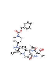 CCCCN1C(=O)[C@@H]([C@H](O)C(C)C)NC(=O)C12CCN(Cc1c(C)nn(C3CCN(C(=O)OCc4ccccc4)CC3)c1C)CC2